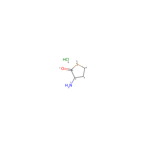 Cl.NC1CCSC1=O